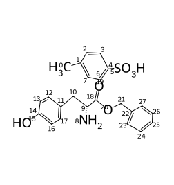 Cc1ccc(S(=O)(=O)O)cc1.N[C@H](Cc1ccc(O)cc1)C(=O)OCc1ccccc1